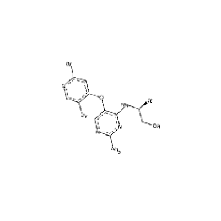 CC[C@@H](CO)Nc1nc(N)ncc1Oc1cc(Br)ncc1C(C)C